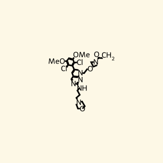 C=CC(=O)N1CC(OCCN2CC(c3c(Cl)c(OC)cc(OC)c3Cl)=Cc3cnc(NCCCN4CCOCC4)nc32)C1